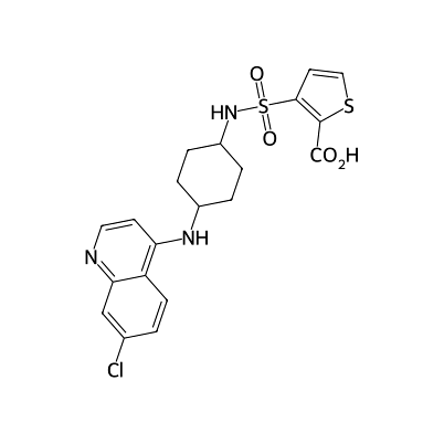 O=C(O)c1sccc1S(=O)(=O)NC1CCC(Nc2ccnc3cc(Cl)ccc23)CC1